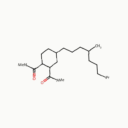 CNC(=O)C1CCC(CCCC(C)CCCC(C)C)CC1C(=O)NC